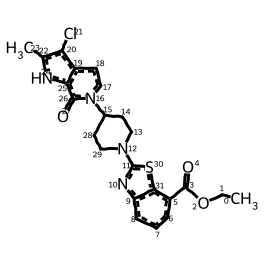 CCOC(=O)c1cccc2nc(N3CCC(n4ccc5c(Cl)c(C)[nH]c5c4=O)CC3)sc12